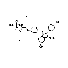 Cc1c(-c2ccc(O)cc2)n(CC2=CCC(/C=C/C(=O)NC(C)(C)C)C=C2)c2ccc(O)cc12